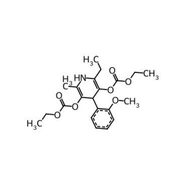 CCOC(=O)OC1=C(C)NC(CC)=C(OC(=O)OCC)C1c1ccccc1OC